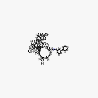 CCC(=O)O[C@@H]1CC(=O)O[C@@H](C/C=C/c2cccc(-c3ccncc3)c2)CCCN(C)C[C@H](O)[C@H](C)C[C@H](CC=O)[C@H](O[C@@H]2OC(C)[C@@H](O[C@H]3CC(C)(OC(C)=O)[C@@H](OC(=O)CC)C(C)O3)C(N(C)C)C2O)[C@H]1OC